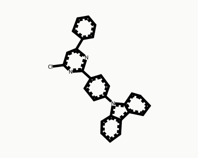 Clc1cc(-c2ccccc2)nc(-c2ccc(-n3c4ccccc4c4ccccc43)cc2)n1